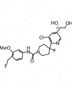 COc1cc(NC(=O)N2CCC(F)(c3ncc([C@H](O)CO)cc3Cl)CC2)ccc1CF